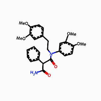 COc1ccc(CCN(C(=O)C(C(N)=O)c2ccccc2)c2ccc(OC)c(OC)c2)cc1OC